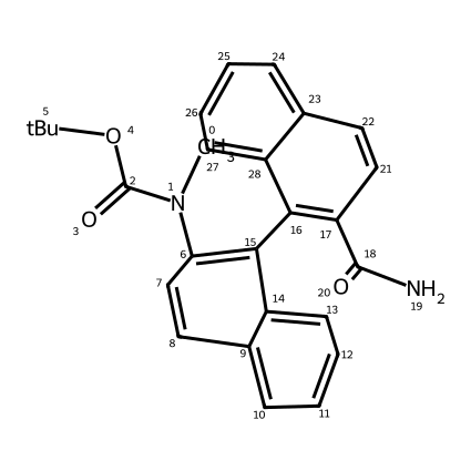 CN(C(=O)OC(C)(C)C)c1ccc2ccccc2c1-c1c(C(N)=O)ccc2ccccc12